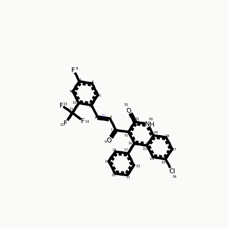 O=C(/C=C/c1ccc(F)cc1C(F)(F)F)c1c(-c2ccccc2)c2cc(Cl)ccc2[nH]c1=O